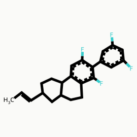 C/C=C/C1CCC2c3cc(F)c(-c4cc(F)cc(F)c4)c(F)c3CCC2C1